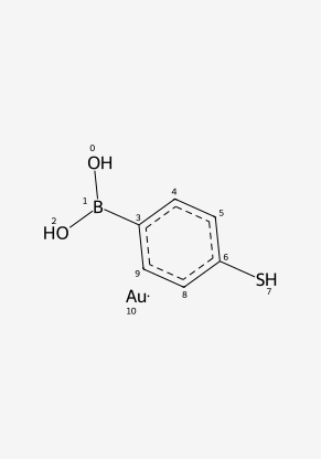 OB(O)c1ccc(S)cc1.[Au]